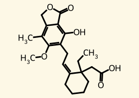 CCC1(CC(=O)O)CCCCC1=CCc1c(O)c2c(c(C)c1OC)COC2=O